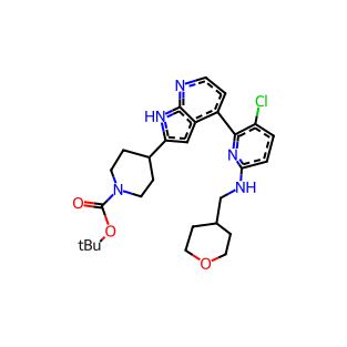 CC(C)(C)OC(=O)N1CCC(c2cc3c(-c4nc(NCC5CCOCC5)ccc4Cl)ccnc3[nH]2)CC1